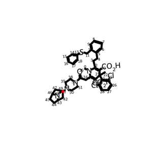 CN1C(CCc2ccccc2CSc2ccccc2)=C(C(=O)O)C(C)(c2c(Cl)cccc2Cl)C(C(=O)O)=C1CC(=O)N1CCN(C2CC3CCC(C2)N3C)CC1